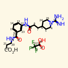 N=C(N)N1CCC(CCC(=O)Nc2cccc(C(=O)NCCC(=O)O)c2)CC1.O=C(O)C(F)(F)F